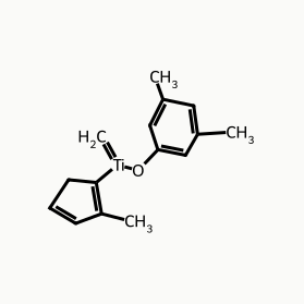 [CH2]=[Ti]([O]c1cc(C)cc(C)c1)[C]1=C(C)C=CC1